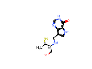 CC(S)[C@@H](CO)NCc1c[nH]c2c(=O)[nH]cnc12